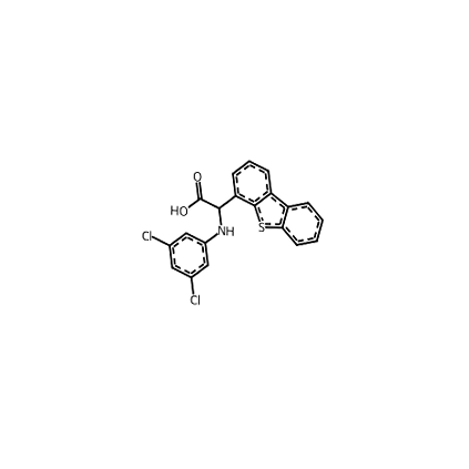 O=C(O)C(Nc1cc(Cl)cc(Cl)c1)c1cccc2c1sc1ccccc12